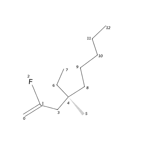 C=C(F)C[C@@](C)(CC)CCCCC